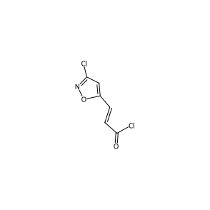 O=C(Cl)C=Cc1cc(Cl)no1